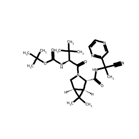 CC(C)(C)OC(=O)N[C@H](C(=O)N1C[C@H]2[C@@H]([C@H]1C(=O)NC(C)(C#N)c1cnccn1)C2(C)C)C(C)(C)C